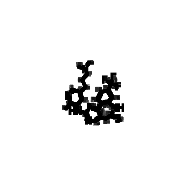 Cc1ncc(CCCN(C)C)cc1Nc1ncc2c(n1)-c1ccc(C(F)(F)F)cc1NC(=S)C2